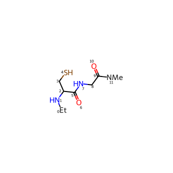 CCNC(CS)C(=O)NCC(=O)NC